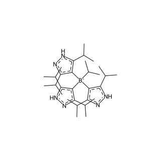 CC(C)c1n[nH]c(C(C)C)c1[B-](c1c(C(C)C)n[nH]c1C(C)C)(c1c(C(C)C)n[nH]c1C(C)C)C(C)C